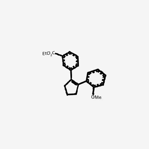 CCOC(=O)c1cccc(C2=C(c3ccccc3OC)CCC2)c1